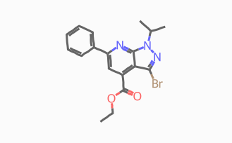 CCOC(=O)c1cc(-c2ccccc2)nc2c1c(Br)nn2C(C)C